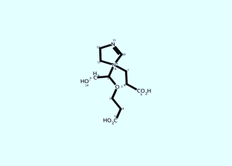 CC(OCCC(=O)O)[N+]1(CCC(=O)O)C=NCC1.[OH-]